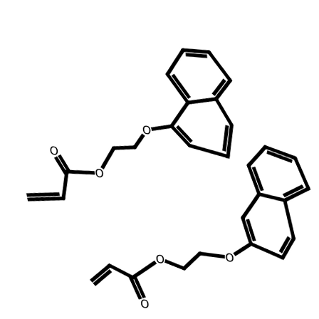 C=CC(=O)OCCOc1ccc2ccccc2c1.C=CC(=O)OCCOc1cccc2ccccc12